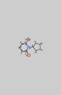 O=c1cccc(Br)n1C1CCCC1